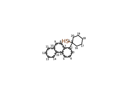 SC1(c2cccc3c2ccc2ccccc23)CCCCC1